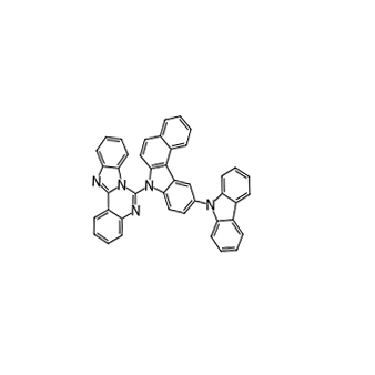 c1ccc2c(c1)ccc1c2c2cc(-n3c4ccccc4c4ccccc43)ccc2n1-c1nc2ccccc2c2nc3ccccc3n12